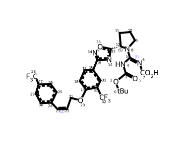 CC(C)(C)OC(=O)N/C(=N\C(=O)O)N1CCC[C@H]1c1nc(-c2ccc(OC/C=C\c3ccc(C(F)(F)F)cc3)c(C(F)(F)F)c2)no1